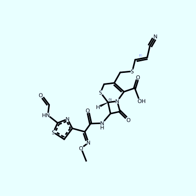 CON=C(C(=O)NC1C(=O)N2C(C(=O)O)=C(CS/C=C/C#N)CS[C@@H]12)c1csc(NC=O)n1